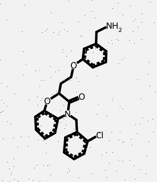 NCc1cccc(OCCC2Oc3ccccc3N(Cc3ccccc3Cl)C2=O)c1